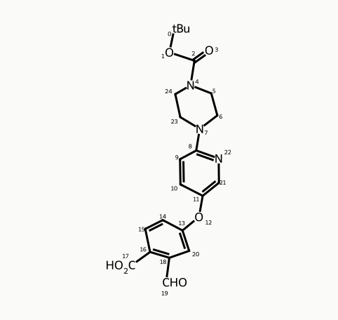 CC(C)(C)OC(=O)N1CCN(c2ccc(Oc3ccc(C(=O)O)c(C=O)c3)cn2)CC1